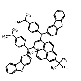 CC(C)c1ccc(N(C2=CC(N(c3ccc(C(C)C)cc3)c3ccc4sc5ccccc5c4c3)[C@@]3(C)C=Cc4cc(C(C)(C)C)cc5ccc2c3c45)c2ccc3sc4ccccc4c3c2)cc1